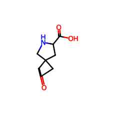 O=C1CC2(CNC(C(=O)O)C2)C1